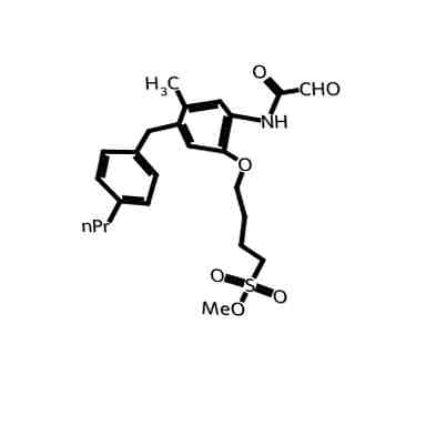 CCCc1ccc(Cc2cc(OCCCCS(=O)(=O)OC)c(NC(=O)C=O)cc2C)cc1